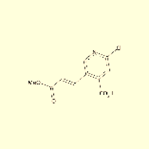 COC(=O)/C=C/c1cnc(Cl)cc1C(=O)O